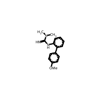 COc1ccc(-c2ccccc2NC(=N)N(C)C)cc1